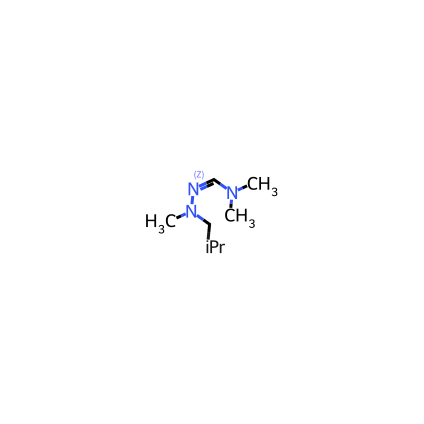 CC(C)CN(C)/N=C\N(C)C